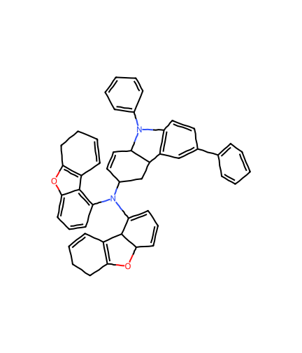 C1=CC2OC3=C(C=CCC3)C2C(N(c2cccc3oc4c(c23)C=CCC4)C2C=CC3C(C2)c2cc(-c4ccccc4)ccc2N3c2ccccc2)=C1